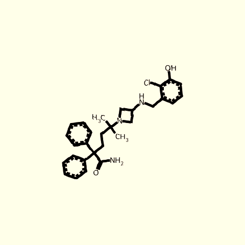 CC(C)(CCC(C(N)=O)(c1ccccc1)c1ccccc1)N1CC(NCc2cccc(O)c2Cl)C1